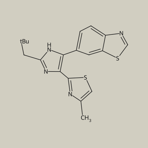 Cc1csc(-c2nc(CC(C)(C)C)[nH]c2-c2ccc3ncsc3c2)n1